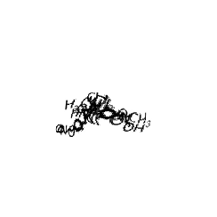 CCN(CCO)S(=O)(=O)c1cc(Cl)c(-n2nc(C(C)C)c3c(=O)[nH]c(Cc4ccc(OCCN5CCOCC5)cc4)nc32)c(Cl)c1